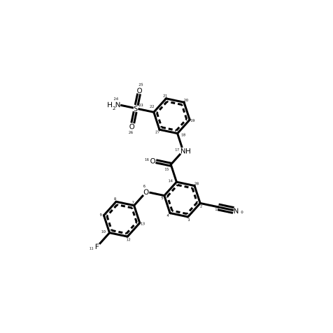 N#Cc1ccc(Oc2ccc(F)cc2)c(C(=O)Nc2cccc(S(N)(=O)=O)c2)c1